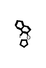 Ic1c(OC2CCCC2)ccc2ccccc12